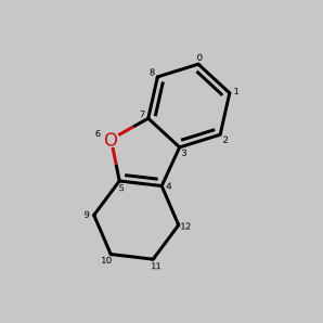 c1ccc2c3c(oc2c1)CCCC3